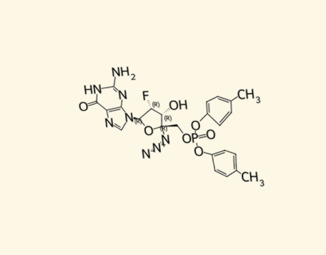 Cc1ccc(OP(=O)(OC[C@@]2(N=[N+]=[N-])O[C@@H](n3cnc4c(=O)[nH]c(N)nc43)[C@H](F)[C@@H]2O)Oc2ccc(C)cc2)cc1